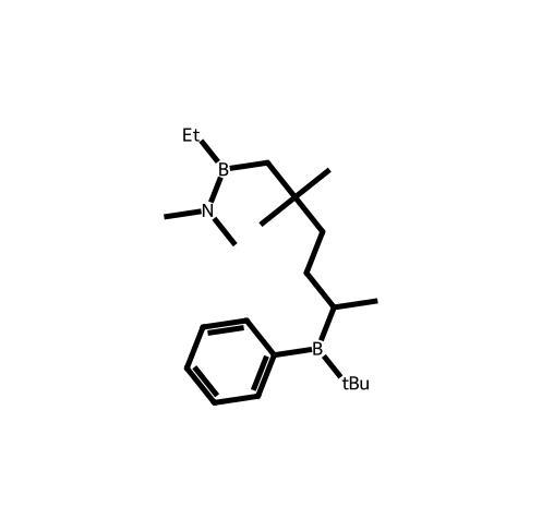 CCB(CC(C)(C)CCC(C)B(c1ccccc1)C(C)(C)C)N(C)C